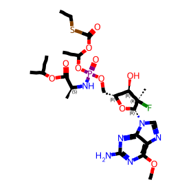 CCSC(=O)OC(C)OP(=O)(N[C@@H](C)C(=O)OC(C)C)OC[C@H]1O[C@@H](n2cnc3c(OC)nc(N)nc32)[C@](C)(F)[C@@H]1O